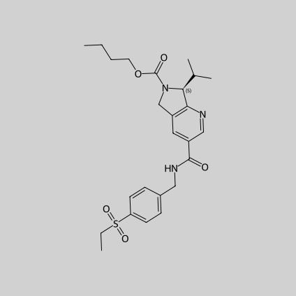 CCCCOC(=O)N1Cc2cc(C(=O)NCc3ccc(S(=O)(=O)CC)cc3)cnc2[C@@H]1C(C)C